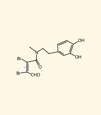 CN(CCc1ccc(O)c(O)c1)C(=O)/C(Br)=C(/Br)C=O